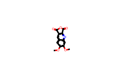 COc1cc2cc3c(nc2cc1OC)C(=O)OC3=O